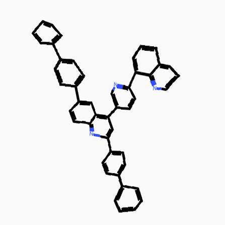 c1ccc(-c2ccc(-c3ccc4nc(-c5ccc(-c6ccccc6)cc5)cc(-c5ccc(-c6cccc7cccnc67)nc5)c4c3)cc2)cc1